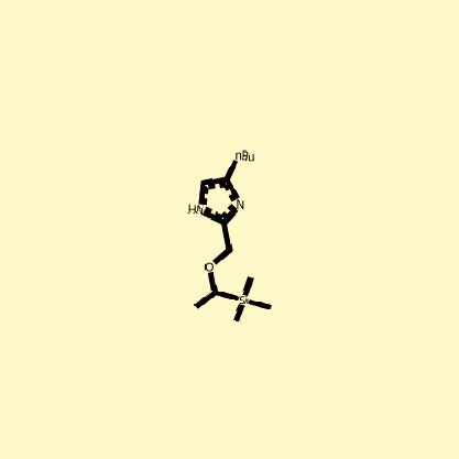 CCCCc1c[nH]c(COC(C)[Si](C)(C)C)n1